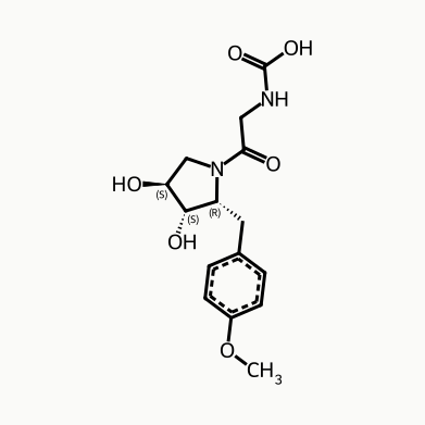 COc1ccc(C[C@@H]2[C@H](O)[C@@H](O)CN2C(=O)CNC(=O)O)cc1